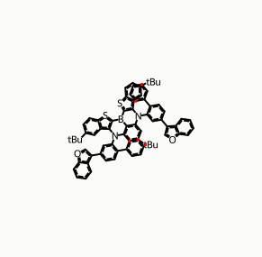 CC(C)(C)c1cc2c3c(c1)N(c1cc(-c4coc5ccccc45)ccc1-c1ccccc1)c1c(sc4ccc(C(C)(C)C)cc14)B3c1sc3ccc(C(C)(C)C)cc3c1N2c1cc(-c2coc3ccccc23)ccc1-c1ccccc1